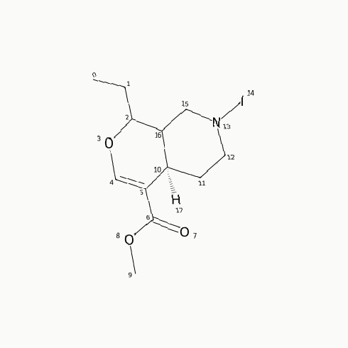 CCC1OC=C(C(=O)OC)[C@@H]2CCN(I)CC12